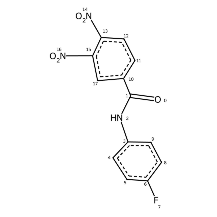 O=C(Nc1ccc(F)cc1)c1ccc([N+](=O)[O-])c([N+](=O)[O-])c1